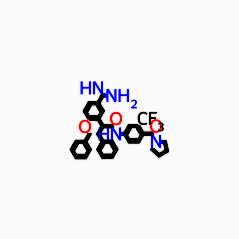 N=C(N)c1ccc(OCc2ccccc2)c(C(Cc2ccccc2)C(=O)Nc2ccc(C(=O)N3CCCC3)c(C(F)(F)F)c2)c1